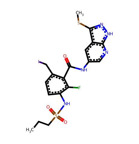 CCCS(=O)(=O)Nc1ccc(CI)c(C(=O)Nc2cnc3[nH]nc(SC)c3c2)c1F